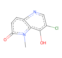 Cn1c(=O)ccc2ncc(Cl)c(O)c21